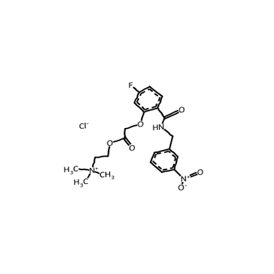 C[N+](C)(C)CCOC(=O)COc1cc(F)ccc1C(=O)NCc1cccc([N+](=O)[O-])c1.[Cl-]